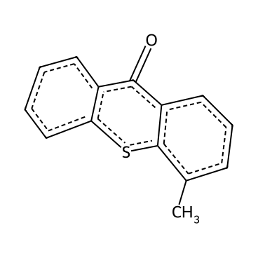 Cc1cccc2c(=O)c3ccccc3sc12